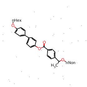 CCCCCCCCCOC(C)c1ccc(C(=O)Oc2ccc(-c3ccc(OCCCCCC)cc3)cc2)cc1